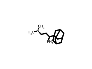 CN(C)CCC(P)C12CC3CC(CC(C3)C1)C2